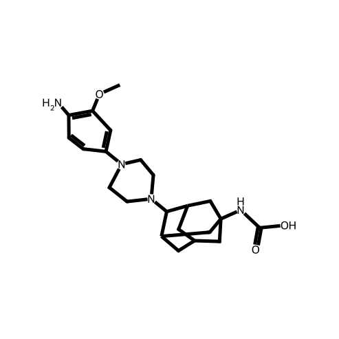 COc1cc(N2CCN(C3C4CC5CC3CC(NC(=O)O)(C5)C4)CC2)ccc1N